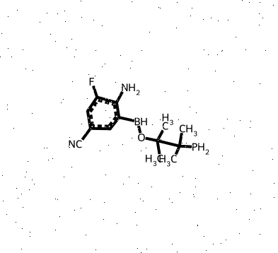 CC(C)(P)C(C)(C)OBc1cc(C#N)cc(F)c1N